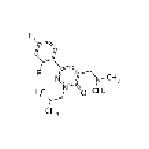 CC(C)Cn1nc(-c2ccc(F)cc2F)cc(CN(C)C)c1=O